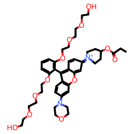 CCC(=O)OC1CC[N+](=c2ccc3c(-c4c(OCCOCCOCCO)cccc4OCCOCCOCCO)c4ccc(N5CCOCC5)cc4oc-3c2)CC1